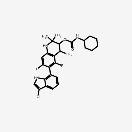 CC1c2c(cc(F)c(-c3cccc4c(Cl)c[nH]c34)c2F)NC(C)(C)C1OC(=O)NC1CCCCC1